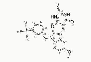 COc1ccc2c(c1)c(C=C1C(=O)NC(=S)NC1=O)cn2Cc1cccc(C(F)(F)F)c1